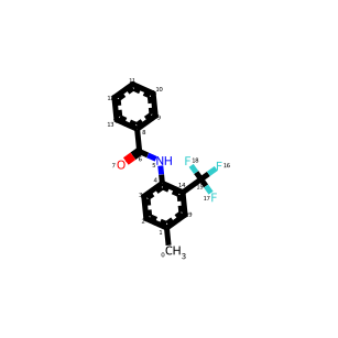 Cc1ccc(NC(=O)c2ccccc2)c(C(F)(F)F)c1